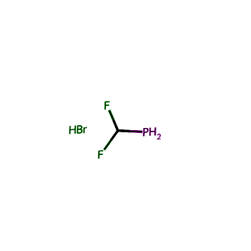 Br.FC(F)P